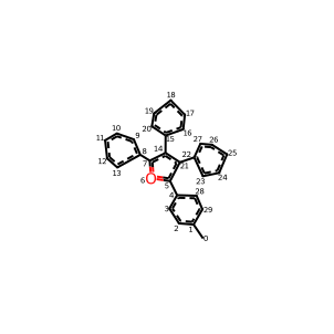 Cc1ccc(-c2oc(-c3ccccc3)c(-c3ccccc3)c2-c2ccccc2)cc1